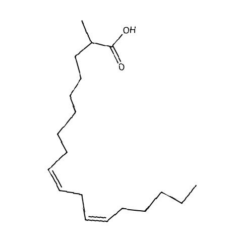 CCCCC/C=C\C/C=C\CCCCCCC(C)C(=O)O